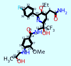 CCOc1c(CC(N)=O)cc([C@@](O)(CNC(=O)c2ccc(NC[C@@H](C)O)c(OC)c2)C(F)(F)F)nc1-c1ccc(F)cc1